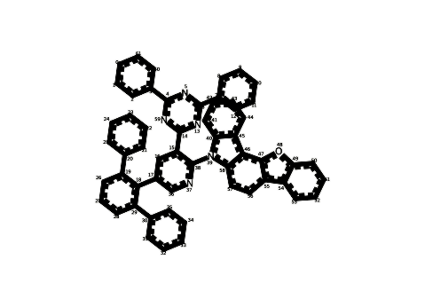 c1ccc(-c2nc(-c3ccccc3)nc(-c3cc(-c4c(-c5ccccc5)cccc4-c4ccccc4)cnc3-n3c4ccccc4c4c5oc6ccccc6c5ccc43)n2)cc1